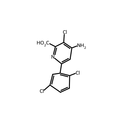 Nc1cc(-c2cc(Cl)ccc2Cl)nc(C(=O)O)c1Cl